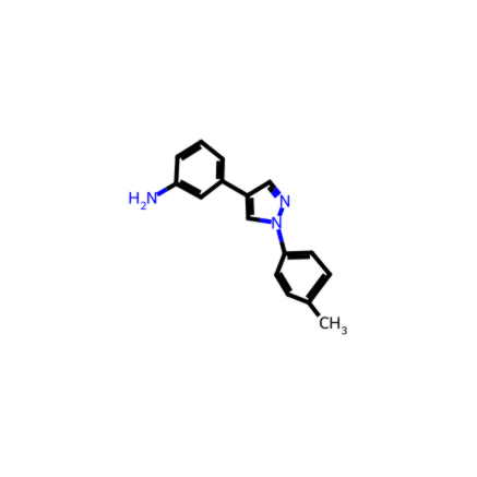 Cc1ccc(-n2cc(-c3cccc(N)c3)cn2)cc1